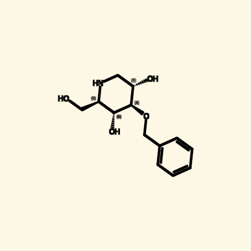 OC[C@H]1NC[C@H](O)[C@@H](OCc2ccccc2)[C@@H]1O